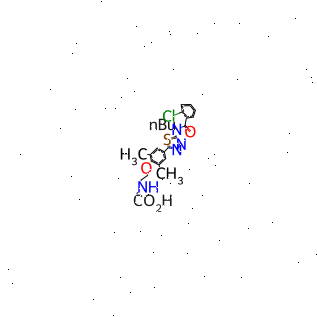 CCCCN(C(=O)c1ccccc1Cl)c1nnc(-c2cc(C)c(OCCNCC(=O)O)c(C)c2)s1